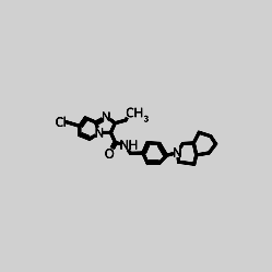 CCC1N=C2C=C(Cl)C=CN2C1C(=O)NCc1ccc(N2CCC3CCCCC3C2)cc1